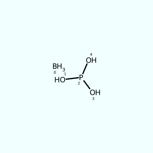 B.OP(O)O